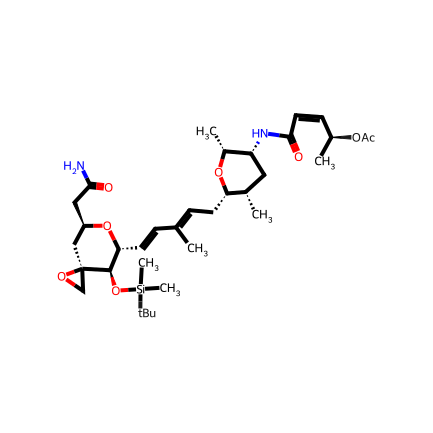 CC(=O)O[C@@H](C)/C=C\C(=O)N[C@@H]1C[C@H](C)[C@H](C/C=C(C)/C=C/[C@H]2O[C@H](CC(N)=O)C[C@@]3(CO3)[C@@H]2O[Si](C)(C)C(C)(C)C)O[C@@H]1C